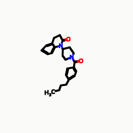 CCCCc1ccc(C(=O)N2CCC(N3C(=O)CCc4ccccc43)CC2)cc1